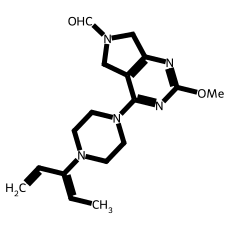 C=C/C(=C/C)N1CCN(c2nc(OC)nc3c2CN(C=O)C3)CC1